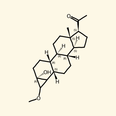 COC1C2[C@H]3CC[C@@H]4[C@H](CC[C@]5(C)[C@@H](C(C)=O)CC[C@@H]45)[C@H]3CC[C@]12O